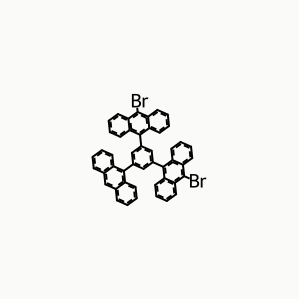 Brc1c2ccccc2c(-c2cc(-c3c4ccccc4cc4ccccc34)cc(-c3c4ccccc4c(Br)c4ccccc34)c2)c2ccccc12